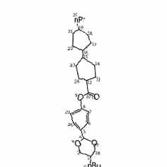 CCCCC1COC(c2ccc(OC(=O)C3CCC(C4CCC(CCC)CC4)CC3)cc2)OC1